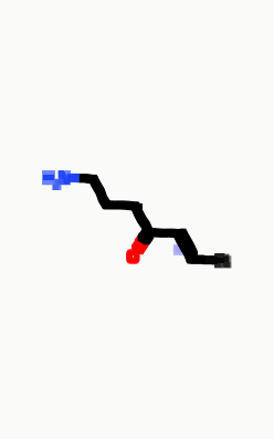 CC/C=C/C(=O)[CH]CCN